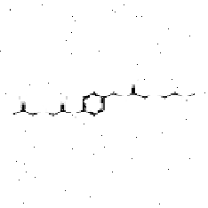 CNCCOCC(=O)NCc1ccc(NC(=O)COCC(C)=O)cc1